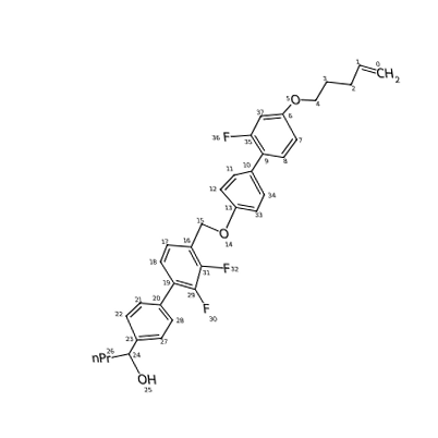 C=CCCCOc1ccc(-c2ccc(OCc3ccc(-c4ccc(C(O)CCC)cc4)c(F)c3F)cc2)c(F)c1